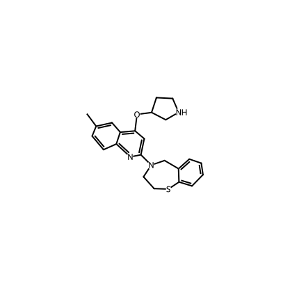 Cc1ccc2nc(N3CCSc4ccccc4C3)cc(OC3CCNC3)c2c1